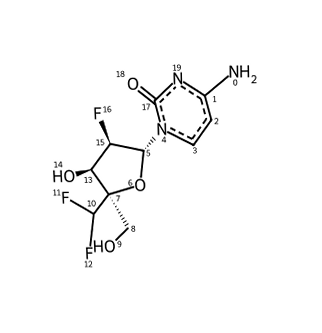 Nc1ccn([C@@H]2O[C@@](CO)(C(F)F)[C@@H](O)[C@H]2F)c(=O)n1